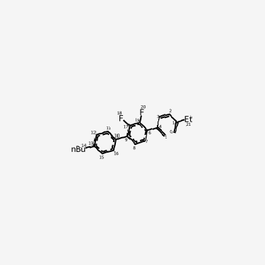 C=C(/C=C\C(=C)c1ccc(-c2ccc(CCCC)cc2)c(F)c1F)CC